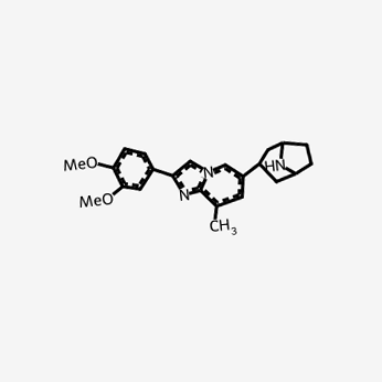 COc1ccc(-c2cn3cc(C4CC5CCC(C4)N5)cc(C)c3n2)cc1OC